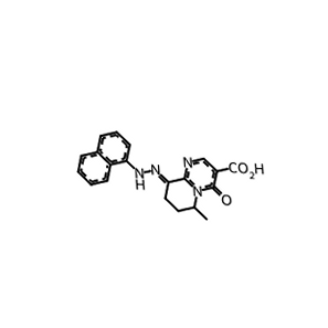 CC1CCC(=NNc2cccc3ccccc23)c2ncc(C(=O)O)c(=O)n21